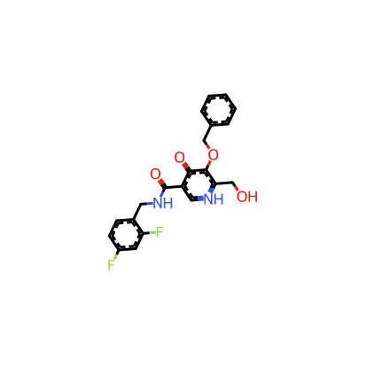 O=C(NCc1ccc(F)cc1F)c1c[nH]c(CO)c(OCc2ccccc2)c1=O